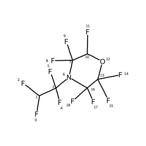 FC(F)C(F)(F)N1C(F)(F)C(F)OC(F)(F)C1(F)F